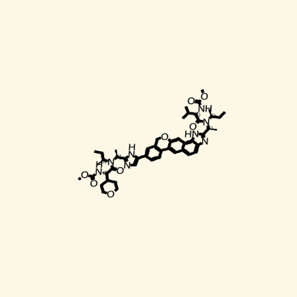 CC[C@H](C)N(C(=O)[C@@H](NC(=O)OC)C(C)C)[C@@H](C)c1nc2ccc3cc4c(cc3c2[nH]1)OCc1cc(-c2cnc([C@H](C)N(C(=O)[C@@H](NC(=O)OC)C3CCOCC3)[C@@H](C)CC)[nH]2)ccc1-4